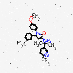 CC(C)(NC1=CC(c2cccc(C(F)(F)F)c2)N(c2ccc(OC(F)(F)F)cc2)C1=O)c1ccc(C(F)(F)F)nc1